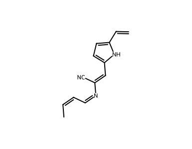 C=Cc1ccc(/C=C(C#N)/N=C\C=C/C)[nH]1